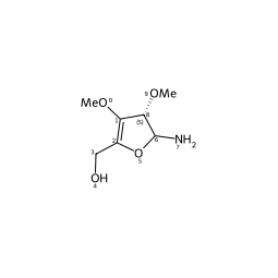 COC1=C(CO)OC(N)[C@H]1OC